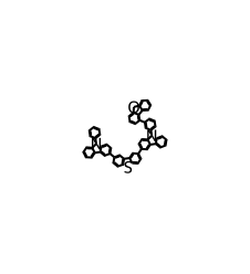 c1ccc(-n2c3ccccc3c3cc(-c4ccc5sc6ccc(-c7ccc8c(c7)c7ccccc7n8-c7cccc(-c8cccc9oc%10ccccc%10c89)c7)cc6c5c4)ccc32)cc1